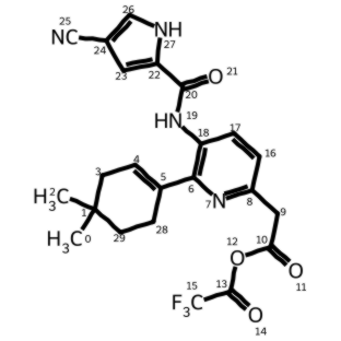 CC1(C)CC=C(c2nc(CC(=O)OC(=O)C(F)(F)F)ccc2NC(=O)c2cc(C#N)c[nH]2)CC1